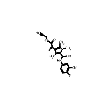 C#CCNC(=O)C(=O)c1c(C)c(C(O)Nc2ccc(F)c(C#N)c2)n(C)c1C